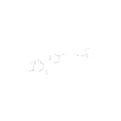 CCc1cc(=O)[nH]nc1-c1ccc(OCCCN2CCCC2)cc1